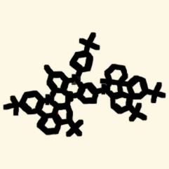 Cc1cc2c3c(c1)N(c1ccc(C(C)(C)C)cc1-c1ccccc1)c1ccc(C(C)(C)C)cc1B3c1ccc(N3c4ccc(C(C)(C)C)cc4C4(c5ccc(C(C)(C)C)cc5)CCCCC34C)cc1N2c1ccc(C(C)(C)C)cc1